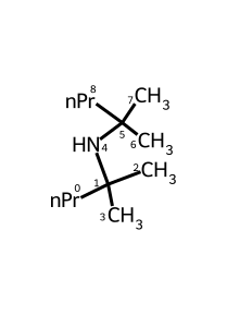 CCCC(C)(C)NC(C)(C)CCC